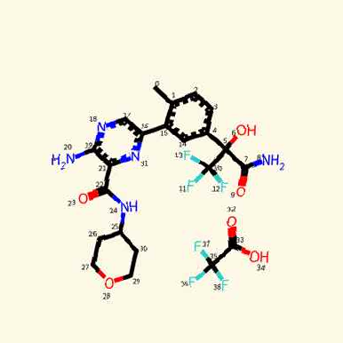 Cc1ccc(C(O)(C(N)=O)C(F)(F)F)cc1-c1cnc(N)c(C(=O)NC2CCOCC2)n1.O=C(O)C(F)(F)F